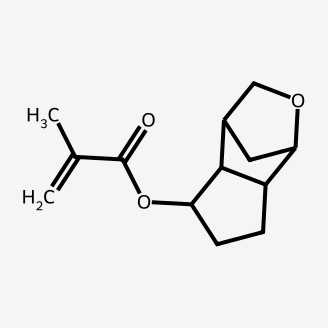 C=C(C)C(=O)OC1CCC2C3CC(CO3)C12